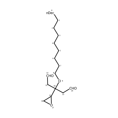 CCCCCCCCCCCCCCCCCCOC(CC=O)(CC=O)C1CO1